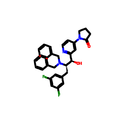 O=C1CCCN1c1ccnc([C@@H](O)[C@H](Cc2cc(F)cc(F)c2)N(Cc2ccccc2)Cc2ccccc2)c1